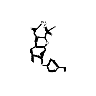 CCc1ccc(Oc2cc3c(cc2C)C=C(C(=O)O)C(C(F)(F)F)O3)cc1